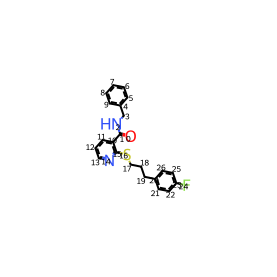 O=C(NCc1ccccc1)c1cccnc1SCCCc1ccc(F)cc1